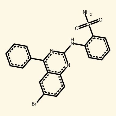 NS(=O)(=O)c1ccccc1Nc1nc(-c2ccccc2)c2cc(Br)ccc2n1